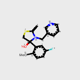 C=C1SCC(O)(c2cc(F)ccc2OC)N1Cc1cccnc1